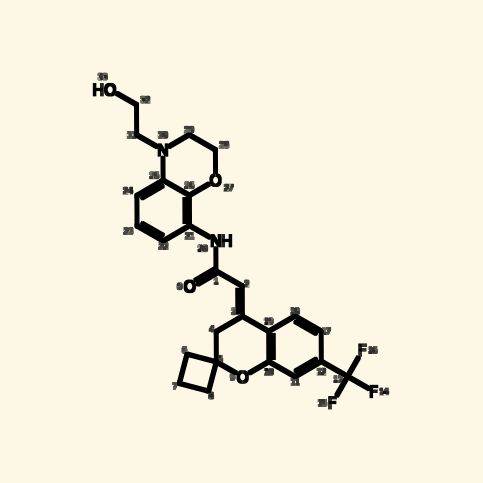 O=C(C=C1CC2(CCC2)Oc2cc(C(F)(F)F)ccc21)Nc1cccc2c1OCCN2CCO